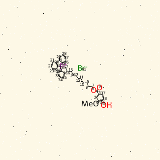 COc1cc(C(=O)OCCCCCCCCCCC[P+](c2ccccc2)(c2ccccc2)c2ccccc2)ccc1O.[Br-]